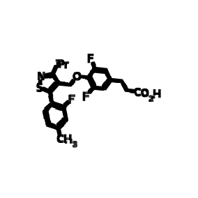 Cc1ccc(-c2snc(C(C)C)c2COc2c(F)cc(CCC(=O)O)cc2F)c(F)c1